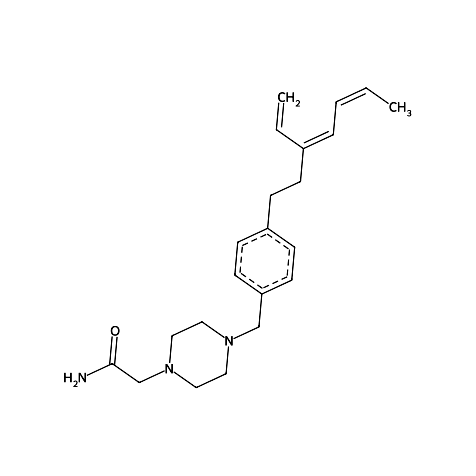 C=C/C(=C\C=C/C)CCc1ccc(CN2CCN(CC(N)=O)CC2)cc1